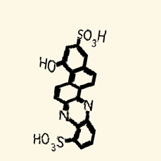 O=S(=O)(O)c1cc(O)c2c(ccc3c2ccc2nc4c(S(=O)(=O)O)cccc4nc23)c1